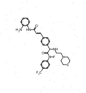 Nc1ccccc1NC(=O)C=Cc1ccc(C(NCCN2CCSCC2)C(=O)N(F)c2ccc(C(F)(F)F)cc2)cc1